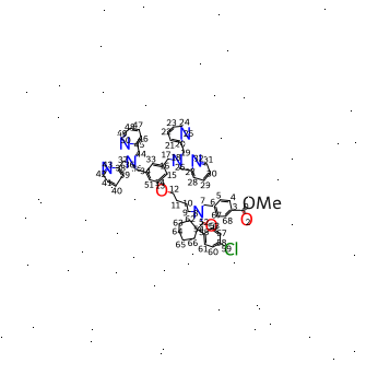 COC(=O)c1ccc(CN(CCCCOc2cc(CN(Cc3ccccn3)Cc3ccccn3)cc(CN(Cc3ccccn3)Cc3ccccn3)c2)C(=O)C2(c3ccc(Cl)cc3)CCCCC2)cc1